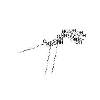 CCCCCCCCCCCCCCCCC(=O)N[C@H](CSC[C@@H](COC(=O)CCCCCCCCCCCCCCCC)OC(=O)CCCCCCCCCCCCCCCC)C(=O)Nc1cn([C@@H]2OC(CO)C(OC3OC(CO)C(O)C(O)C3O)C(O)C2O)nn1